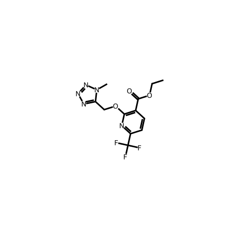 CCOC(=O)c1ccc(C(F)(F)F)nc1OCc1nnnn1C